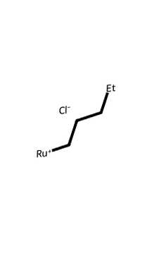 CCCC[CH2][Ru+].[Cl-]